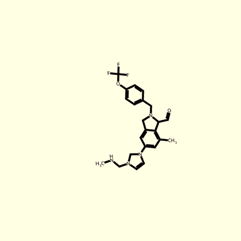 CNCN1C=CN(c2cc(C)c3c(c2)CN(Cc2ccc(OC(F)(F)F)cc2)C3C=O)C1